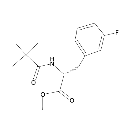 COC(=O)[C@@H](Cc1cccc(F)c1)NC(=O)C(C)(C)C